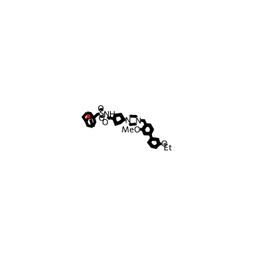 CCOc1cccc(-c2ccc(CN3CCN(c4ccc(C(=O)NS(=O)(=O)CC56CC7CC(CC(C7)C5)C6)cc4)CC3)c(OC)c2)c1